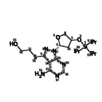 CC(C)[Si](OC1[CH]O[C@@H](n2nc(SCCO)c3c(N)ncnc32)C1)(C(C)C)C(C)C